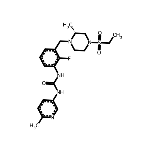 CCS(=O)(=O)N1CCN(Cc2cccc(NC(=O)Nc3ccc(C)nc3)c2F)[C@H](C)C1